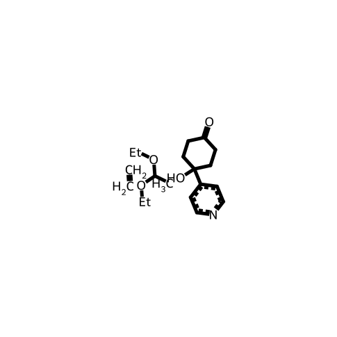 C=C.CCOC(C)OCC.O=C1CCC(O)(c2ccncc2)CC1